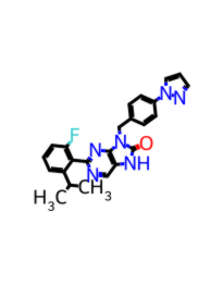 CC(C)c1cccc(F)c1-c1ncc2[nH]c(=O)n(Cc3ccc(-n4cccn4)cc3)c2n1